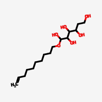 C=CCCCCCCCCOC(O)C(O)C(O)C(O)CCO